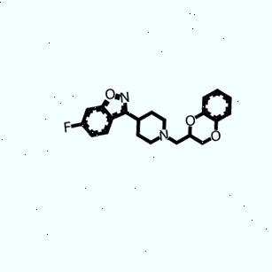 Fc1ccc2c(C3CCN(CC4COc5ccccc5O4)CC3)noc2c1